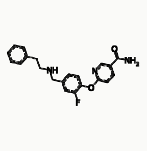 NC(=O)c1ccc(Oc2ccc(CNCCc3ccccc3)cc2F)nc1